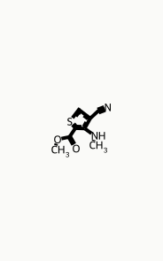 CNc1c(C#N)csc1C(=O)OC